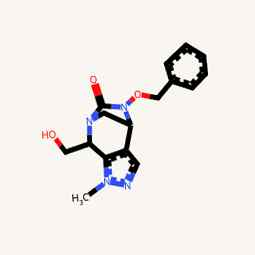 Cn1ncc2c1C(CO)N1CC2N(OCc2ccccc2)C1=O